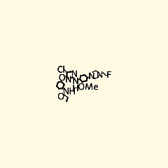 C=CC(=O)Nc1cccc(Oc2nc(Nc3ccc(N4CCN(CCF)CC4)cc3OC)ncc2Cl)c1